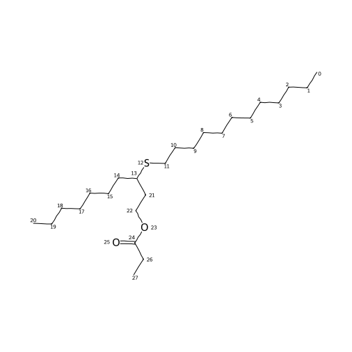 CCCCCCCCCCCCSC(CCCCCCC)CCOC(=O)CC